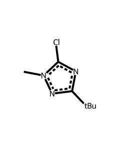 Cn1nc(C(C)(C)C)nc1Cl